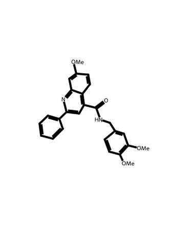 COc1ccc2c(C(=O)NCc3ccc(OC)c(OC)c3)cc(-c3ccccc3)nc2c1